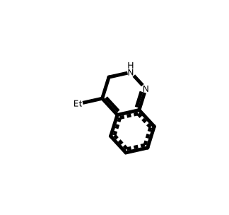 CCC1=c2ccccc2=NNC1